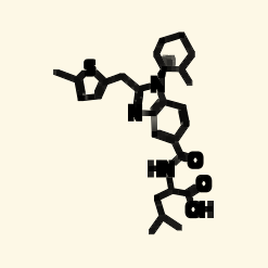 Cc1ccc(Cc2nc3cc(C(=O)NC(CC(C)C)C(=O)O)ccc3n2[C@H]2CCCCC2C)s1